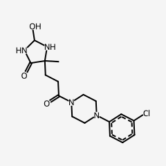 CC1(CCC(=O)N2CCN(c3cccc(Cl)c3)CC2)NC(O)NC1=O